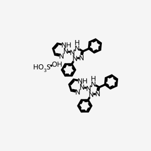 C1=CNN(N2NC(c3ccccc3)=NN2c2ccccc2)N=C1.C1=CNN(N2NC(c3ccccc3)=NN2c2ccccc2)N=C1.O=S(=O)(O)O